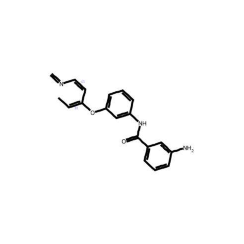 C=N/C=C\C(=C/C)Oc1cccc(NC(=O)c2cccc(N)c2)c1